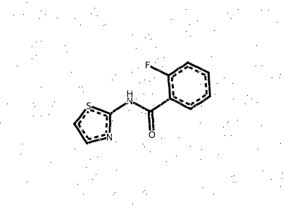 O=C(Nc1nccs1)c1ccccc1F